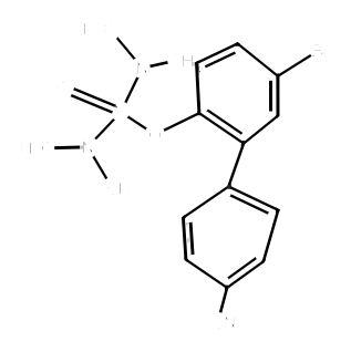 CN(C)P(=O)(Oc1ccc(Br)cc1-c1ccc(C#N)cc1)N(C)C